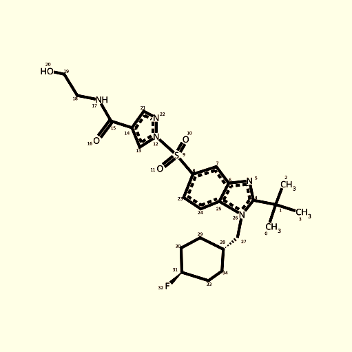 CC(C)(C)c1nc2cc(S(=O)(=O)n3cc(C(=O)NCCO)cn3)ccc2n1C[C@H]1CC[C@H](F)CC1